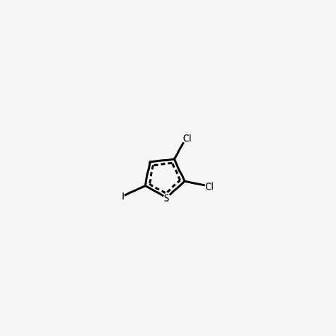 Clc1cc(I)sc1Cl